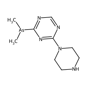 C[As](C)c1ncnc(N2CCNCC2)n1